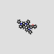 c1ccc(-c2ccc3c4ccccc4n(-c4ccc5oc6ccccc6c5c4)c3c2-c2ccc3c4ccccc4n(-c4ccc5c(c4)c4ccccc4n5-c4ccccc4)c3c2)cc1